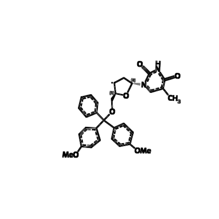 COc1ccc(C(OC[C@H]2[CH]C[C@H](n3cc(C)c(=O)[nH]c3=O)O2)(c2ccccc2)c2ccc(OC)cc2)cc1